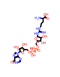 N=C(NCCCC(N)C(=O)O)NC1O[C@H](COP(=O)(O)OP(=O)(O)OCC2OC(n3cnc4c(=O)[nH]cnc43)[C@H](O)[C@@H]2O)C(O)C1O